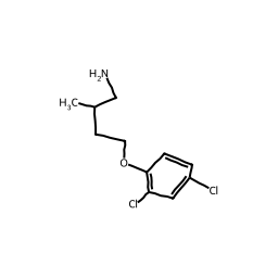 CC(CN)CCOc1ccc(Cl)cc1Cl